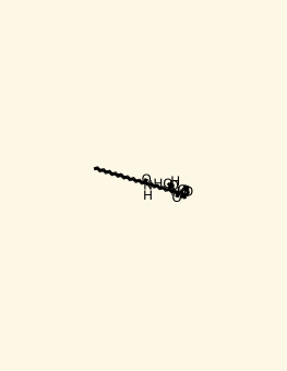 CCCCCCCCC=CCCCCCCCC(=O)NCCCCCCC(CNC(=O)C1OC(C)(C)OCC1(C)C)C(=O)O